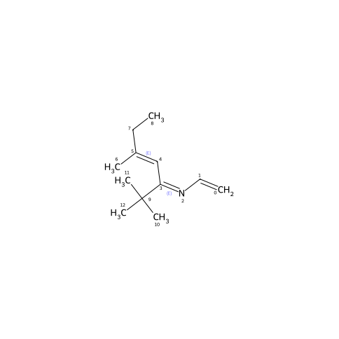 C=C/N=C(\C=C(/C)CC)C(C)(C)C